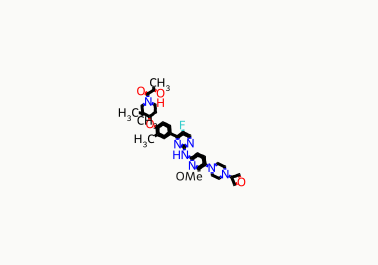 COc1nc(Nc2ncc(F)c(-c3ccc(OC4CCN(C(=O)C(C)O)CC4(C)C)c(C)c3)n2)ccc1N1CCN(C2COC2)CC1